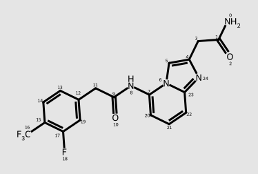 NC(=O)Cc1cn2c(NC(=O)Cc3ccc(C(F)(F)F)c(F)c3)cccc2n1